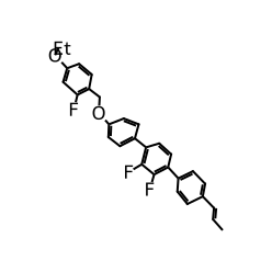 C/C=C/c1ccc(-c2ccc(-c3ccc(OCc4ccc(OCC)cc4F)cc3)c(F)c2F)cc1